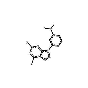 FC(F)c1cccc(-n2ncc3c(Cl)nc(Cl)nc32)c1